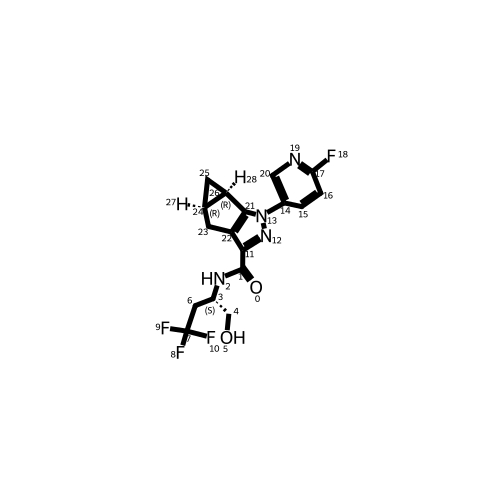 O=C(N[C@H](CO)CC(F)(F)F)c1nn(-c2ccc(F)nc2)c2c1C[C@H]1C[C@@H]21